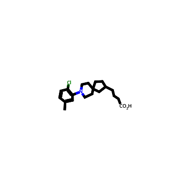 Cc1ccc(Cl)c(N2CCC3(CCC(CCCC(=O)O)C3)CC2)c1